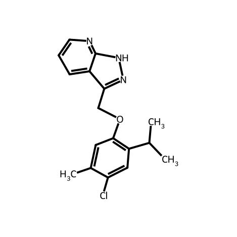 Cc1cc(OCc2n[nH]c3ncccc23)c(C(C)C)cc1Cl